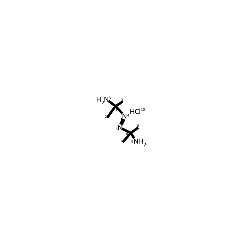 CC(C)(N)/N=N/C(C)(C)N.Cl